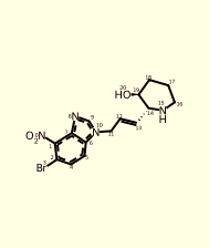 O=[N+]([O-])c1c(Br)ccc2c1ncn2C/C=C/[C@H]1NCCC[C@@H]1O